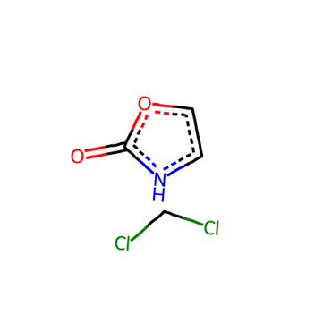 ClCCl.O=c1[nH]cco1